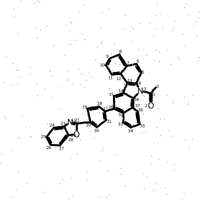 CC(=O)n1c2ccc3ccccc3c2c2cc(-c3ccc(-c4nc5ccccc5o4)cc3)c3ccccc3c21